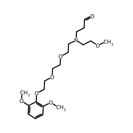 COCCN(CCC=O)CCOCCOCCOc1c(OC)cccc1OC